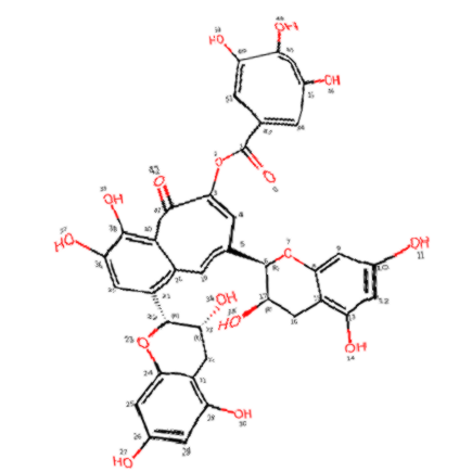 O=C(Oc1cc([C@H]2Oc3cc(O)cc(O)c3C[C@H]2O)cc2c([C@H]3Oc4cc(O)cc(O)c4C[C@H]3O)cc(O)c(O)c2c1=O)c1cc(O)c(O)c(O)c1